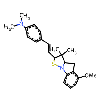 COc1cccc2c1CC1N2SC(C=Cc2ccc(N(C)C)cc2)C1(C)C